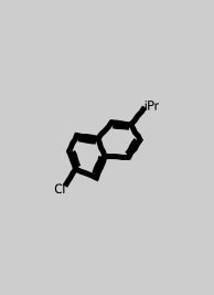 CC(C)c1ccc2cc(Cl)ccc2c1